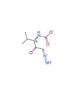 CC(C)[C@@H](NC(=O)[O-])C(=O)C=[N+]=N